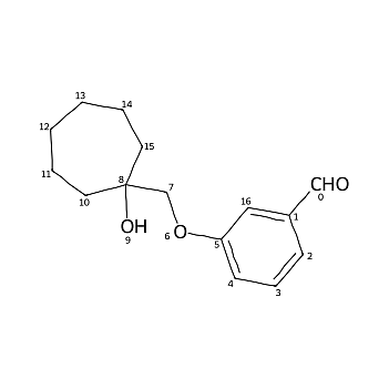 O=Cc1cccc(OCC2(O)CCCCCC2)c1